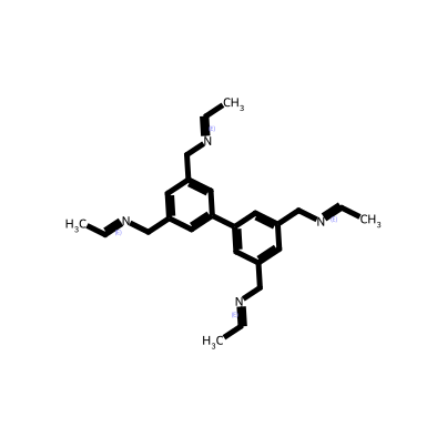 C/C=N/Cc1cc(C/N=C/C)cc(-c2cc(C/N=C/C)cc(C/N=C/C)c2)c1